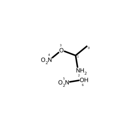 CC(N)O[N+](=O)[O-].O=[N+]([O-])O